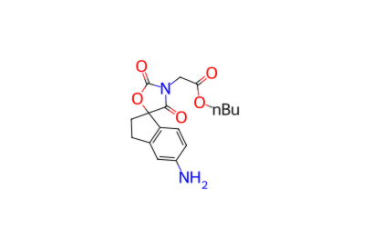 CCCCOC(=O)CN1C(=O)OC2(CCc3cc(N)ccc32)C1=O